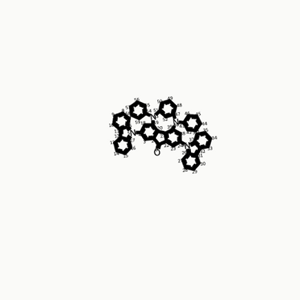 O=C1c2cc(-n3c4ccccc4c4ccccc43)cc3c2-c2c1cc(-n1c4ccccc4c4ccccc41)cc2N(c1ccccc1)c1cccc(c1)N3c1ccccc1